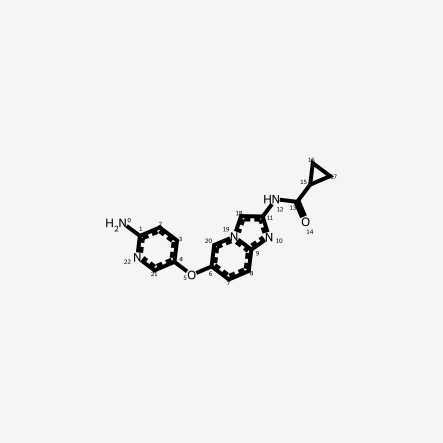 Nc1ccc(Oc2ccc3nc(NC(=O)C4CC4)cn3c2)cn1